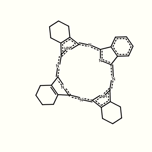 c1ccc2c(c1)-c1nc-2nc2[nH]c(nc3nc(nc4[nH]c(n1)c1c4CCCC1)C1=C3CCCC1)c1c2CCCC1